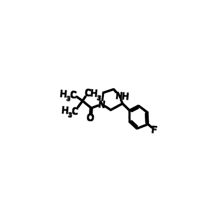 CC(C)(C)C(=O)N1CCNC(c2ccc(F)cc2)C1